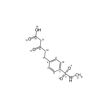 CNS(=O)(=O)c1ccc(CCC(=O)CC(=O)O)cc1